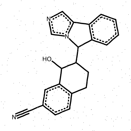 N#Cc1ccc2c(c1)C(O)C(C1c3ccccc3-c3cncn31)CC2